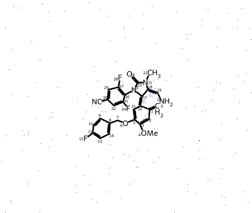 C=c1cc(OC)c(OCc2ccc(F)cc2)c/c1=c1/c(=C\N)n(C)c(=O)n1-c1c(F)cc(C#N)cc1F